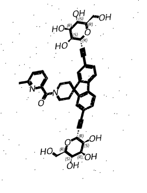 Cc1cccc(C(=O)N2CCC3(CC2)c2cc(C#C[C@H]4O[C@H](CO)[C@@H](O)[C@H](O)[C@@H]4O)ccc2-c2ccc(C#C[C@H]4O[C@H](CO)[C@@H](O)[C@H](O)[C@@H]4O)cc23)n1